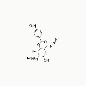 [N-]=[N+]=NCC1OC(O)C(N=[N+]=[N-])C(F)C1OC(=O)c1ccc([N+](=O)[O-])cc1